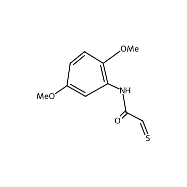 COc1ccc(OC)c(NC(=O)C=S)c1